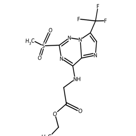 CCOC(=O)CNc1nc(S(C)(=O)=O)nn2c(C(F)(F)F)cnc12